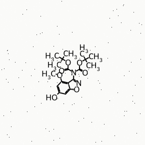 COc1cc(O)cc2onc(N(C(=O)OC(C)(C)C)C(=O)OC(C)(C)C)c12